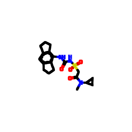 CN(C(=O)CS(=O)(=O)NC(=O)Nc1c2c(cc3c1CCC3)CCC2)C1CC1